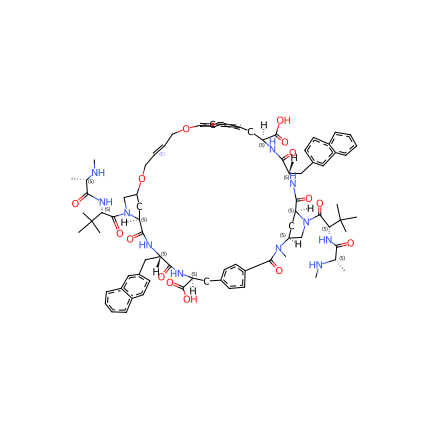 CN[C@@H](C)C(=O)N[C@H](C(=O)N1CC2C[C@H]1C(=O)N[C@@H](Cc1ccc3ccccc3c1)C(=O)N[C@H](C(=O)O)Cc1ccc(cc1)C(=O)N(C)[C@H]1C[C@@H](C(=O)N[C@@H](Cc3ccc4ccccc4c3)C(=O)N[C@H](C(=O)O)Cc3ccc(cc3)OC/C=C/CO2)N(C(=O)[C@@H](NC(=O)[C@H](C)NC)C(C)(C)C)C1)C(C)(C)C